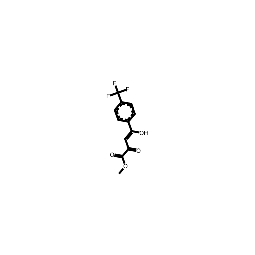 COC(=O)C(=O)C=C(O)c1ccc(C(F)(F)F)cc1